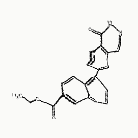 CCOC(=O)c1ccc2c(-c3ccc4c(=O)[nH]ncc4c3)cccc2c1